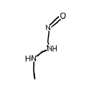 CNNN=O